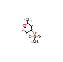 CC1CC(OS(C)(=O)=O)CCO1